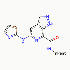 CCCCCNC(=O)c1nc(Nc2nccs2)cc2cn[nH]c12